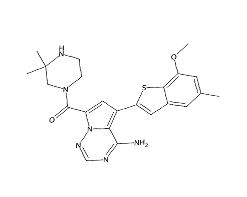 COc1cc(C)cc2cc(-c3cc(C(=O)N4CCNC(C)(C)C4)n4ncnc(N)c34)sc12